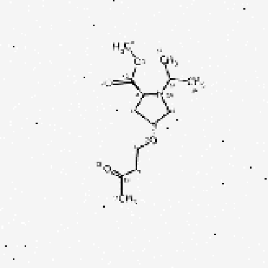 COC(=O)[C@@H]1C[C@@H](OCCC(C)=O)CN1C(C)C